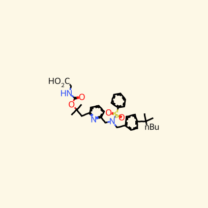 CCCCC(C)(C)c1ccc(CN(Cc2cccc(CC(C)(C)OC(=O)NCC(=O)O)n2)S(=O)(=O)c2ccccc2)cc1